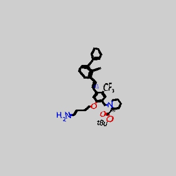 Cc1c(/C=C/c2cc(OCCCCN)c(CN3CCCC[C@H]3C(=O)OC(C)(C)C)cc2C(F)(F)F)cccc1-c1ccccc1